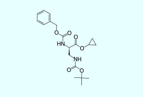 CC(C)(C)OC(=O)NC[C@@H](NC(=O)OCc1ccccc1)C(=O)OC1CC1